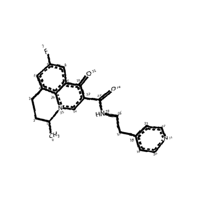 CC1CCc2cc(F)cc3c(=O)c(C(=O)NCCc4ccncc4)cn1c23